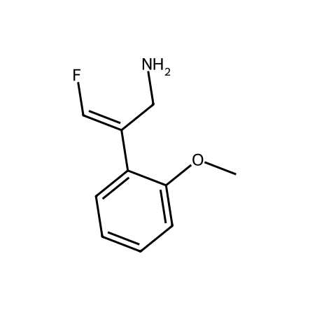 COc1ccccc1C(=CF)CN